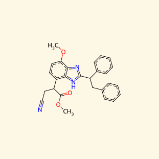 COC(=O)C(CC#N)c1ccc(OC)c2nc(C(Cc3ccccc3)c3ccccc3)[nH]c12